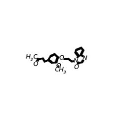 COc1cc(CCC(C)=O)ccc1OCCCn1c(=O)cnc2ccccc21